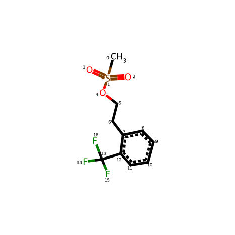 CS(=O)(=O)OCCc1ccccc1C(F)(F)F